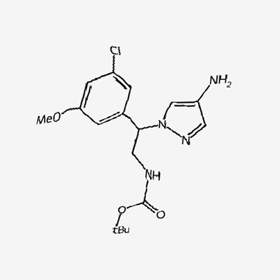 COc1cc(Cl)cc(C(CNC(=O)OC(C)(C)C)n2cc(N)cn2)c1